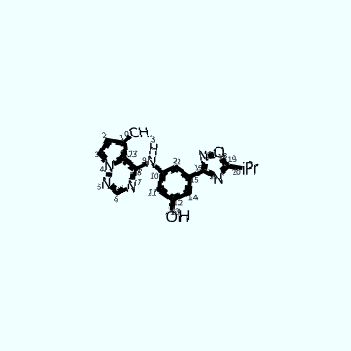 Cc1ccn2ncnc(Nc3cc(O)cc(-c4noc(C(C)C)n4)c3)c12